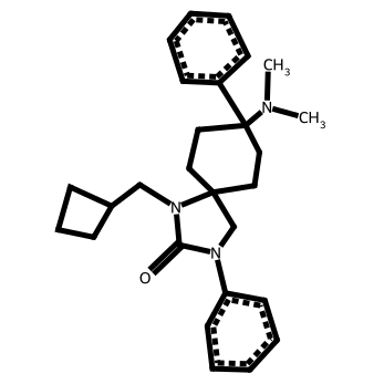 CN(C)C1(c2ccccc2)CCC2(CC1)CN(c1ccccc1)C(=O)N2CC1CCC1